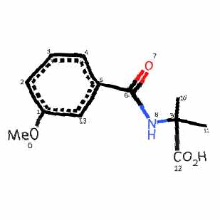 COc1cccc(C(=O)NC(C)(C)C(=O)O)c1